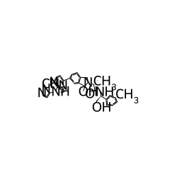 Cc1cccc([C@@H](CO)NC(=O)[C@@H](C)N2Cc3ccc(-c4ccnc(Nc5ccnn5C)n4)cc3C2O)c1